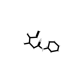 C=CC(C)C(C)CC(=O)OC1CCCCC1